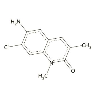 Cc1cc2cc(N)c(Cl)cc2n(C)c1=O